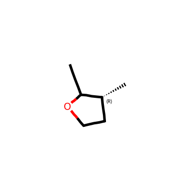 CC1OCC[C@H]1C